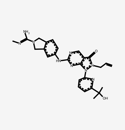 C=CCn1c(=O)c2cnc(Nc3ccc4c(c3)CN(C(N)=NC)C4)nc2n1-c1cccc(C(C)(C)O)n1